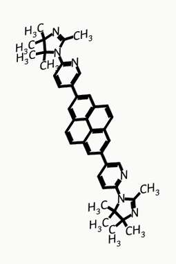 CC1=NC(C)(C)C(C)(C)N1c1ccc(-c2cc3ccc4cc(-c5ccc(N6C(C)=NC(C)(C)C6(C)C)nc5)cc5ccc(c2)c3c45)cn1